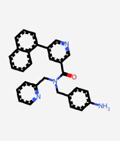 Nc1ccc(CN(Cc2ccccn2)C(=O)c2cncc(-c3cccc4ccccc34)c2)cc1